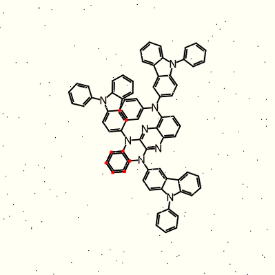 c1ccc(N(c2ccc3c(c2)c2ccccc2n3-c2ccccc2)c2nc3cccc(N(c4ccccc4)c4ccc5c(c4)c4ccccc4n5-c4ccccc4)c3nc2N(c2ccccc2)c2ccc3c(c2)c2ccccc2n3-c2ccccc2)cc1